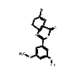 COc1cc(OC)cc(-c2nc3c(c(=O)o2)C=C(Br)CC3)c1